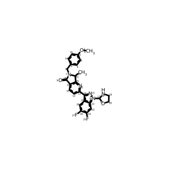 COc1ccc(CN2C(=O)c3ccc(-c4nn(C5NCCO5)c5cc(F)c(F)cc45)nc3C2C)cc1